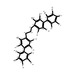 Fc1c(F)c(F)c(-c2c(F)c(F)c(CCCc3c(F)c(F)c(-c4c(F)c(F)c(F)c(F)c4F)c(F)c3F)c(F)c2F)c(F)c1F